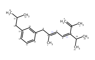 C=C(C)/C(=C\C=C(/C)Cc1cccc(CC(C)C)c1)C(C)C